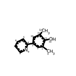 Cc1cc(-c2ccc[c]n2)cc(C)c1O